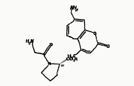 Cc1cc(=O)oc2cc(N)ccc12.NCC(=O)N1CCC[C@H]1C(=O)O